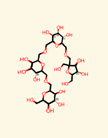 OCC1OC(COCC2OC(COCC3OC(COCC4(CO)OC(CO)[C@H](O)C4O)[C@@H](O)[C@H](O)[C@@H]3O)C(O)C(O)[C@H]2O)C(O)[C@H](O)C1O